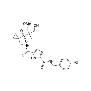 COCC(C)(CO)S(=O)(=O)C1(CNC(=O)c2cnc(C(=O)NCc3ccc(Cl)cc3)[nH]2)CC1